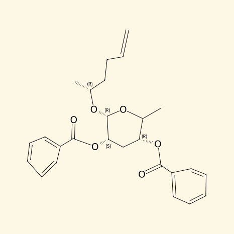 C=CCC[C@@H](C)O[C@@H]1OC(C)[C@H](OC(=O)c2ccccc2)C[C@@H]1OC(=O)c1ccccc1